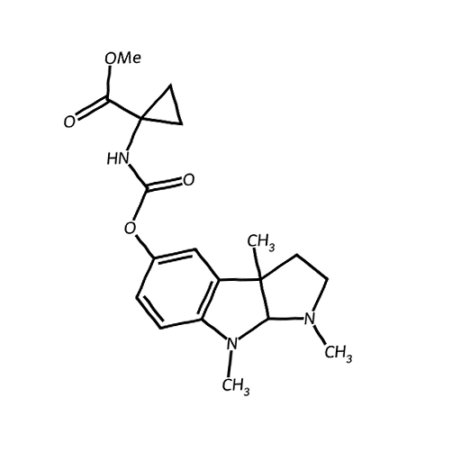 COC(=O)C1(NC(=O)Oc2ccc3c(c2)C2(C)CCN(C)C2N3C)CC1